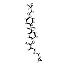 C=C(COCC1CO1)C(=O)Oc1ccc(C(C)(C)c2ccc(OCC3CO3)cc2)cc1